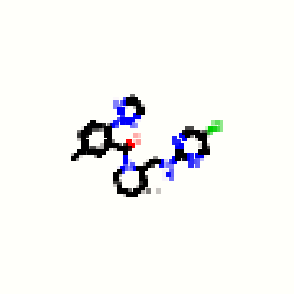 Cc1ccc(-n2nccn2)c(C(=O)N2CCC[C@@H](C)C2CNc2ncc(Cl)cn2)c1